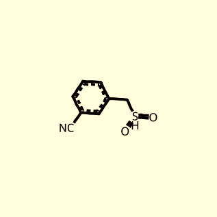 N#Cc1cccc(C[SH](=O)=O)c1